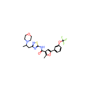 Cc1oc(-c2cccc(OC(F)(F)F)c2)cc1C(=O)Nc1nc(CC(C)N2CCOCC2)ns1